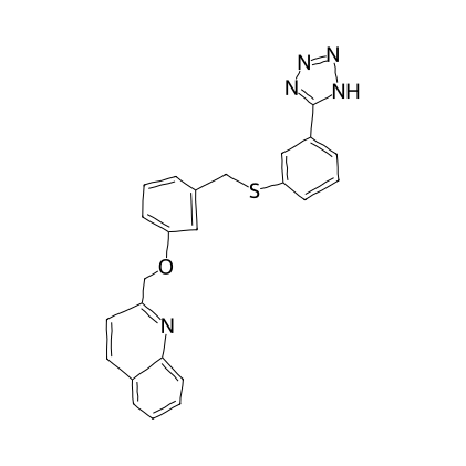 c1cc(CSc2cccc(-c3nnn[nH]3)c2)cc(OCc2ccc3ccccc3n2)c1